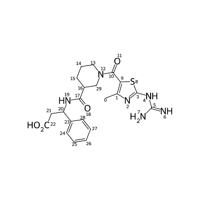 Cc1nc(NC(=N)N)sc1C(=O)N1CCCC(C(=O)NC(CC(=O)O)c2ccccc2)C1